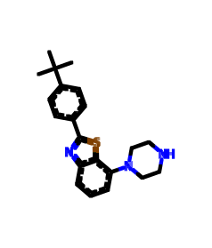 CC(C)(C)c1ccc(-c2nc3cccc(N4CCNCC4)c3s2)cc1